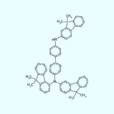 CC1(C)c2ccccc2-c2cc(N(c3ccc(-c4ccc(Nc5ccc6c(c5)C(C)(C)c5ccccc5-6)cc4)cc3)c3cccc4c3-c3ccccc3C4(C)C)ccc21